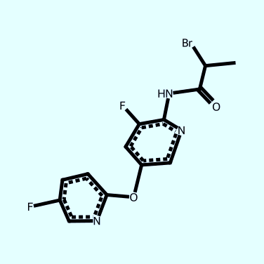 CC(Br)C(=O)Nc1ncc(Oc2ccc(F)cn2)cc1F